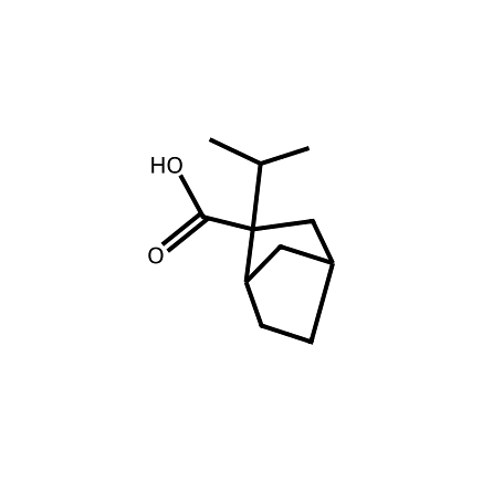 CC(C)C1(C(=O)O)CC2CCC1C2